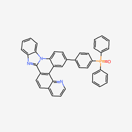 O=P(c1ccccc1)(c1ccccc1)c1ccc(-c2ccc3c(c2)c2c(ccc4cccnc42)c2nc4ccccc4n32)cc1